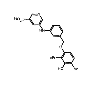 CCCc1c(OCc2cccc(Nc3cncc(C(=O)O)c3)c2)ccc(C(C)=O)c1O